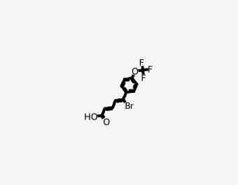 O=C(O)C=CC=C(Br)c1ccc(OC(F)(F)F)cc1